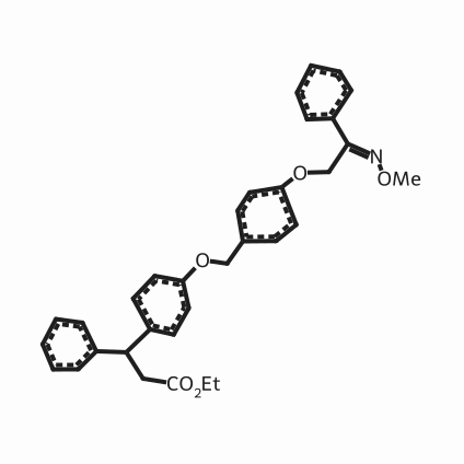 CCOC(=O)CC(c1ccccc1)c1ccc(OCc2ccc(OC/C(=N\OC)c3ccccc3)cc2)cc1